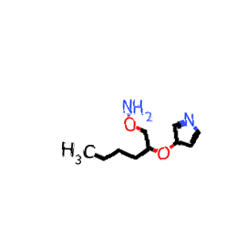 CCCCC(CON)OC1C=CN=C1